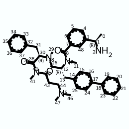 C[C@@H](N)c1cccc(C(=O)N(C)[C@H](Cc2ccc(-c3ccccc3)cc2)C(=O)N(C)[C@H](Cc2ccccc2)C(=O)N(C)CCCN(C)C)c1